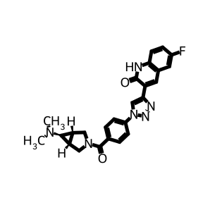 CN(C)[C@H]1[C@@H]2CN(C(=O)c3ccc(-n4cc(-c5cc6cc(F)ccc6[nH]c5=O)nn4)cc3)C[C@@H]21